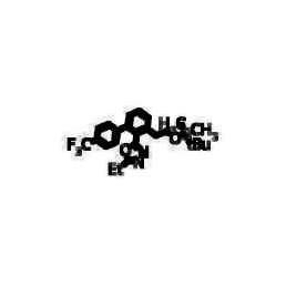 CCc1nnc(-c2c(CCO[Si](C)(C)C(C)(C)C)cccc2-c2ccc(C(F)(F)F)cc2)o1